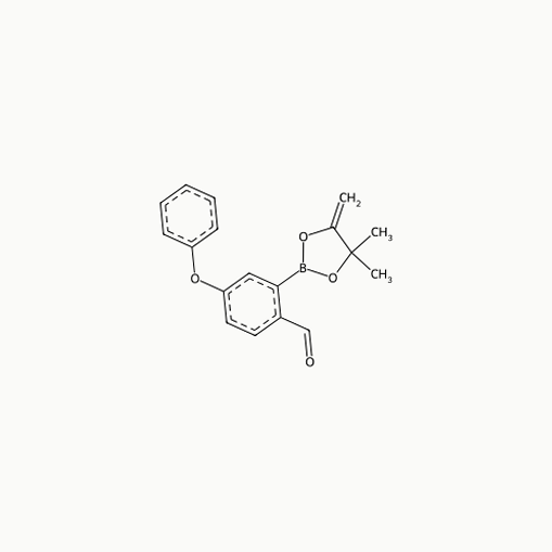 C=C1OB(c2cc(Oc3ccccc3)ccc2C=O)OC1(C)C